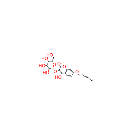 CC/C=C/CCOc1ccc2c(O)c(O[C@H]3O[C@H](CO)[C@@H](O)[C@H](O)[C@@H]3O)c(=O)oc2c1